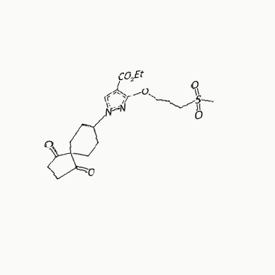 CCOC(=O)c1cn(C2CCC3(CC2)C(=O)CCC3=O)nc1OCCCS(C)(=O)=O